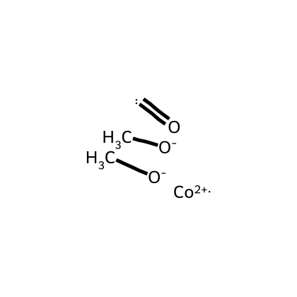 C[O-].C[O-].[C]=O.[Co+2]